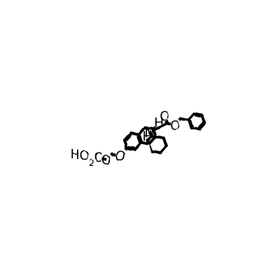 O=C(O)OCOc1ccc2c(c1)[C@@]13CCCC[C@H]1[C@@H](C2)N(C(=O)OCc1ccccc1)CC3